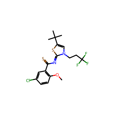 COc1ccc(Cl)cc1C(=S)/N=c1\sc(C(C)(C)C)cn1CCC(F)(F)F